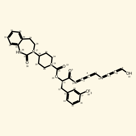 O=C(N=C=C=CN=C=C=CO)[C@@H](Cc1cccc(C(F)(F)F)c1)OC(=O)N1CCC(N2CCc3ccccc3NC2=O)CC1